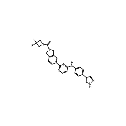 C=C(N1Cc2ccc(-c3nccc(Nc4ccc(-c5cn[nH]c5)cc4)n3)cc2C1)N1CC(F)(F)C1